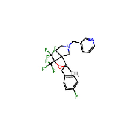 CCOC(C(F)(F)F)(C(F)(F)F)C1(CCc2ccc(F)cc2)CCN(Cc2cccnc2)C1